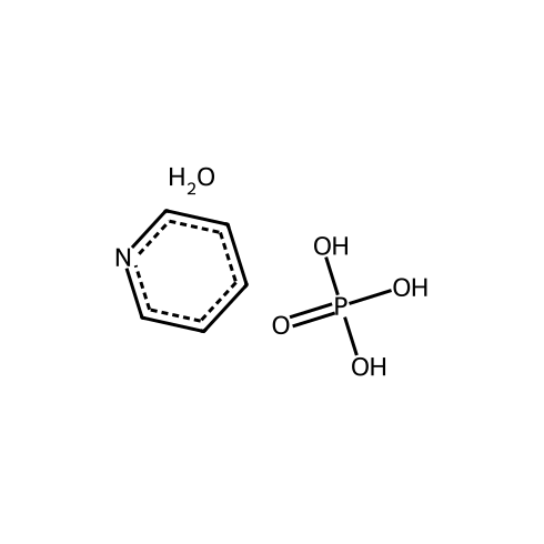 O.O=P(O)(O)O.c1ccncc1